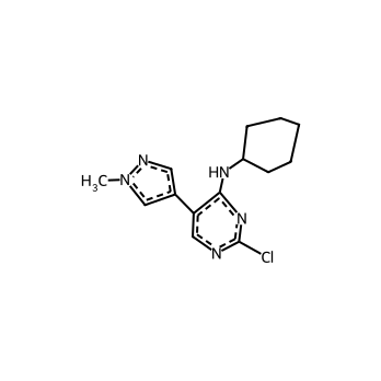 Cn1cc(-c2cnc(Cl)nc2NC2CCCCC2)cn1